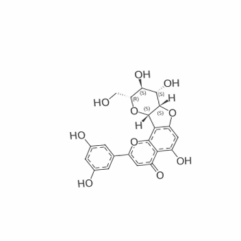 O=c1cc(-c2cc(O)cc(O)c2)oc2c3c(cc(O)c12)O[C@H]1[C@@H](O)[C@H](O)[C@@H](CO)O[C@@H]31